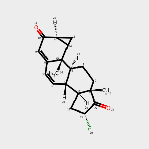 C[C@]12CC[C@H]3[C@@H](C=CC4=CC(=O)[C@H]5CC5[C@@]43C)[C@@H]1C[C@@H](F)C2=O